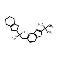 CC(C)(C)c1cc2cc(CC(C)(C)c3cc4c(s3)CCCC4)ccc2s1